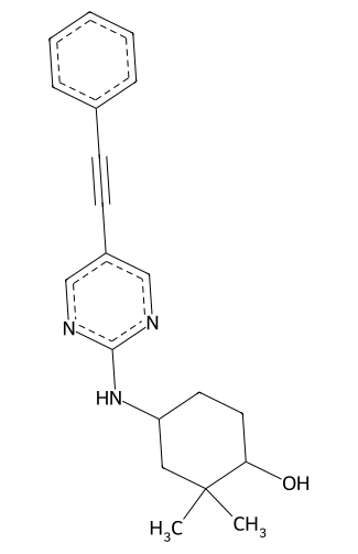 CC1(C)CC(Nc2ncc(C#Cc3ccccc3)cn2)CCC1O